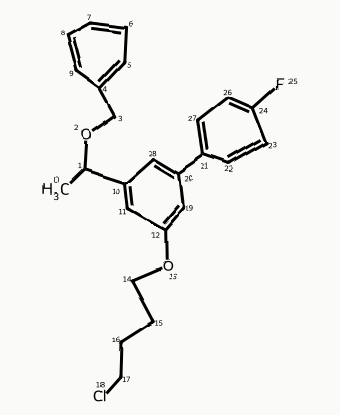 CC(OCc1ccccc1)c1cc(OCCCCCl)cc(-c2ccc(F)cc2)c1